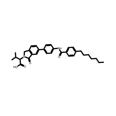 CCCCCCCc1ccc(C(=O)Nc2ccc(-c3ccc4c(c3)C(=O)N(C(C(=O)O)C(C)C)C4)cc2)cc1